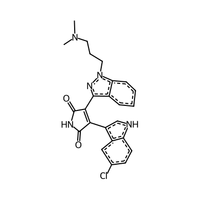 CN(C)CCCn1nc(C2=C(c3c[nH]c4ccc(Cl)cc34)C(=O)NC2=O)c2ccccc21